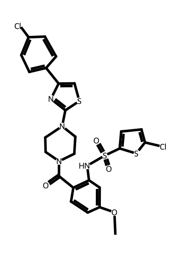 COc1ccc(C(=O)N2CCN(c3nc(-c4ccc(Cl)cc4)cs3)CC2)c(NS(=O)(=O)c2ccc(Cl)s2)c1